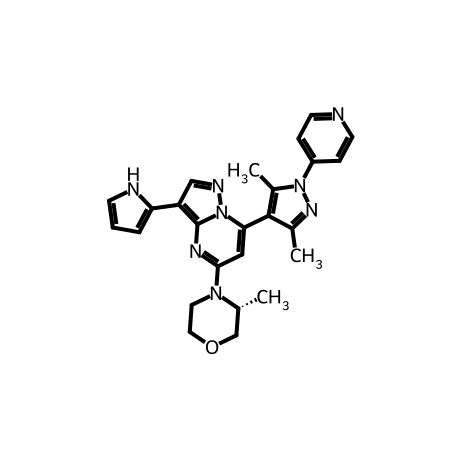 Cc1nn(-c2ccncc2)c(C)c1-c1cc(N2CCOC[C@H]2C)nc2c(-c3ccc[nH]3)cnn12